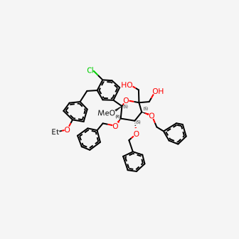 CCOc1ccc(Cc2cc([C@]3(OC)OC(CO)(CO)[C@@H](OCc4ccccc4)[C@H](OCc4ccccc4)[C@H]3OCc3ccccc3)ccc2Cl)cc1